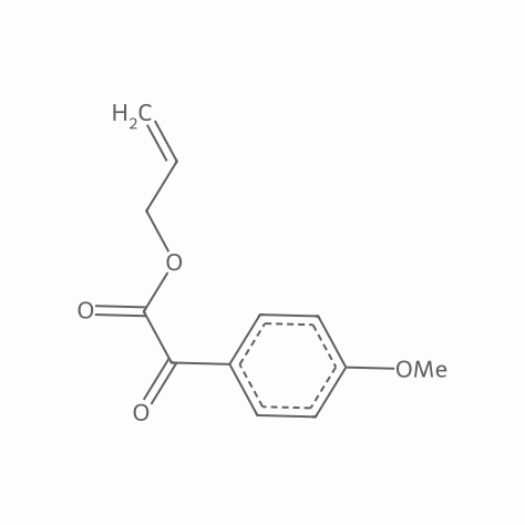 C=CCOC(=O)C(=O)c1ccc(OC)cc1